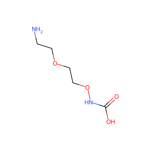 NCCOCCONC(=O)O